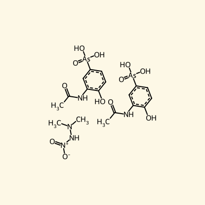 CC(=O)Nc1cc([As](=O)(O)O)ccc1O.CC(=O)Nc1cc([As](=O)(O)O)ccc1O.CN(C)N[N+](=O)[O-]